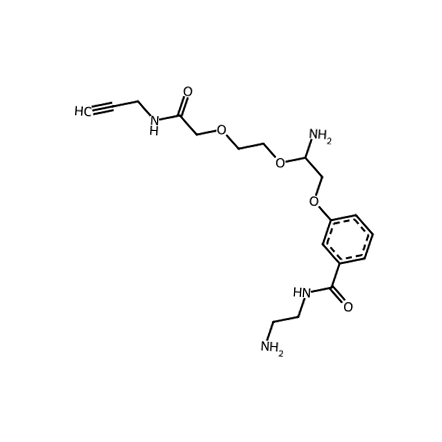 C#CCNC(=O)COCCOC(N)COc1cccc(C(=O)NCCN)c1